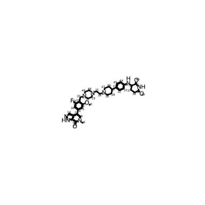 COc1cc(-c2cn(C)c(=O)c3[nH]ncc23)cc(F)c1CN1CCN(CCN2CCC(c3ccc(NC4CCC(=O)NC4=O)cc3)CC2)CC1